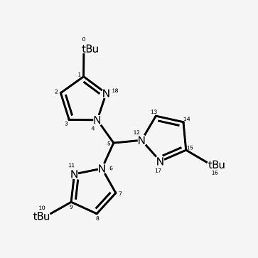 CC(C)(C)c1ccn(C(n2ccc(C(C)(C)C)n2)n2ccc(C(C)(C)C)n2)n1